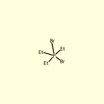 CCP(Br)(Br)(CC)CC